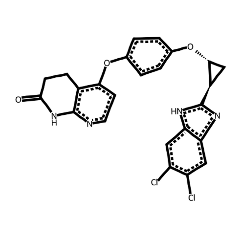 O=C1CCc2c(Oc3ccc(O[C@@H]4C[C@H]4c4nc5cc(Cl)c(Cl)cc5[nH]4)cc3)ccnc2N1